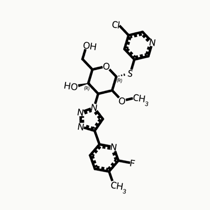 COC1C(n2cc(-c3ccc(C)c(F)n3)nn2)[C@@H](O)C(CO)O[C@@H]1Sc1cncc(Cl)c1